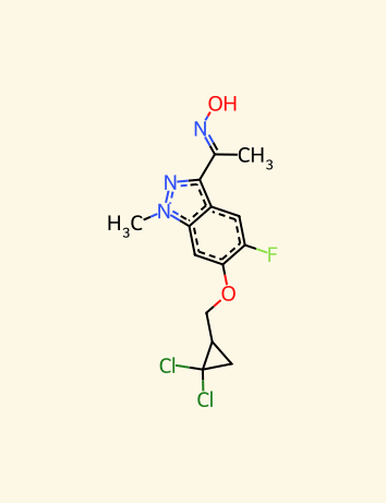 C/C(=N\O)c1nn(C)c2cc(OCC3CC3(Cl)Cl)c(F)cc12